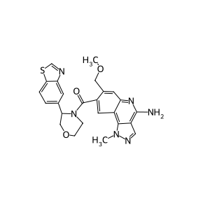 COCc1cc2nc(N)c3cnn(C)c3c2cc1C(=O)N1CCOCC1c1ccc2scnc2c1